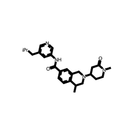 CC(C)Cc1cncc(NC(=O)c2ccc3c(c2)CN(C2CCN(C)C(=O)C2)CC3C)c1